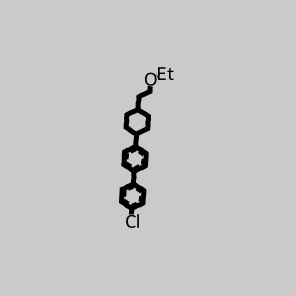 CCOCCC1CCC(c2ccc(-c3ccc(Cl)cc3)cc2)CC1